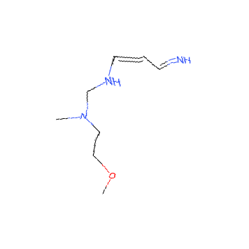 COCCN(C)CN/C=C\C=N